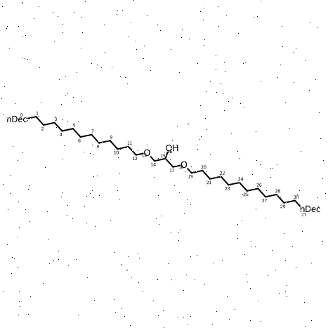 CCCCCCCCCCCCCCCCCCCCCCOCC(O)COCCCCCCCCCCCCCCCCCCCCCC